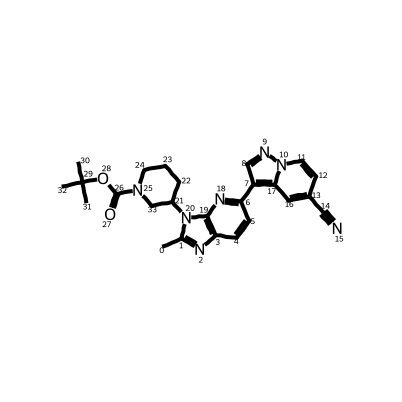 Cc1nc2ccc(-c3cnn4ccc(C#N)cc34)nc2n1C1CCCN(C(=O)OC(C)(C)C)C1